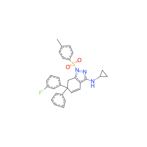 Cc1ccc(S(=O)(=O)n2nc(NC3CC3)c3c2CC(c2ccccc2)(c2cccc(F)c2)C=C3)cc1